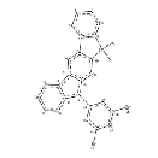 CC1(C)c2ccccc2-c2cc3c4ccccc4n(-c4cc(Br)nc(Br)c4)c3cc21